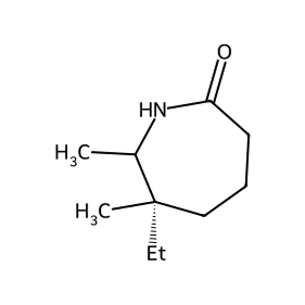 CC[C@@]1(C)CCCC(=O)NC1C